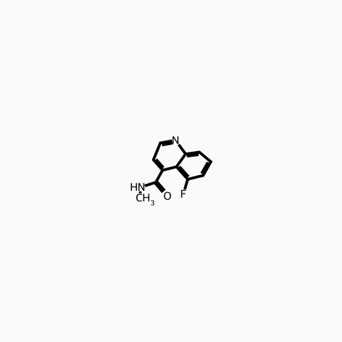 CNC(=O)c1ccnc2cccc(F)c12